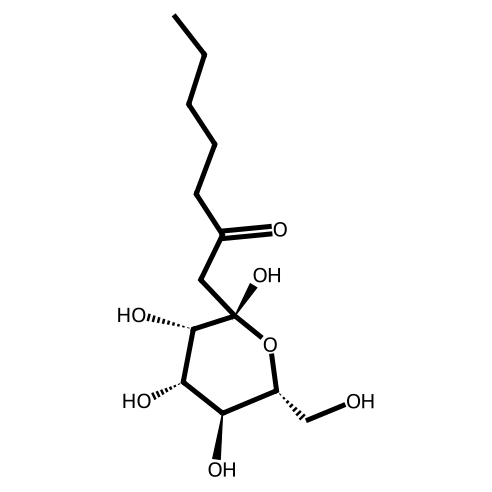 CCCCCC(=O)C[C@]1(O)O[C@H](CO)[C@@H](O)[C@H](O)[C@@H]1O